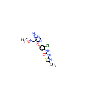 CON=Cc1c(N)ncnc1Oc1ccc(NC(=O)Nc2nc(C)cs2)c(Cl)c1